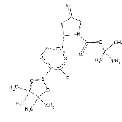 CC(C)(C)OC(=O)N1CC(=O)CC1c1ccc(B2OC(C)(C)C(C)(C)O2)c(F)c1